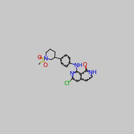 CS(=O)(=O)N1CCCC(c2ccc(Nc3nc(Cl)cc4cc[nH]c(=O)c34)cc2)C1